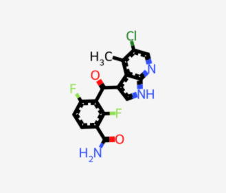 Cc1c(Cl)cnc2[nH]cc(C(=O)c3c(F)ccc(C(N)=O)c3F)c12